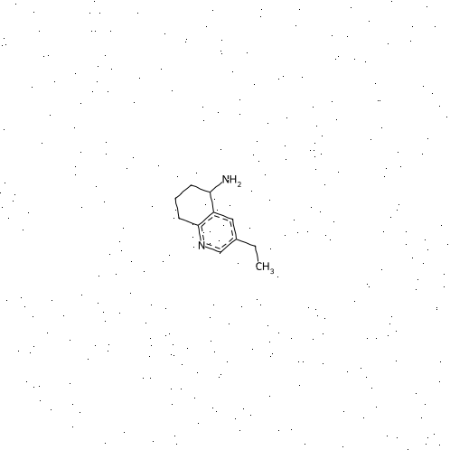 CCc1cnc2c(c1)C(N)CCC2